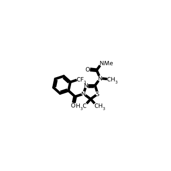 CNC(=O)N(C)C1=NN(C(=O)c2ccccc2C(F)(F)F)C(C)(C)S1